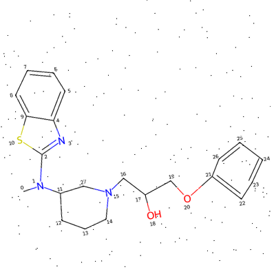 CN(c1nc2ccccc2s1)C1CCCN(CC(O)COc2ccccc2)C1